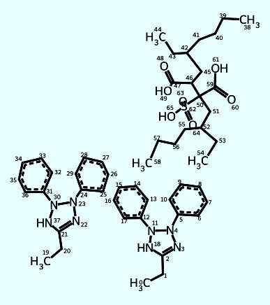 CCC1=NN(c2ccccc2)N(c2ccccc2)N1.CCC1=NN(c2ccccc2)N(c2ccccc2)N1.CCCCC(CC)CC(C(=O)O)C(CC(CC)CCCC)(C(=O)O)S(=O)(=O)O